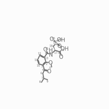 COc1c(C(=O)CC(C)C)cccc1C(=O)N[C@@H](CS(=O)(=O)O)C(=O)O